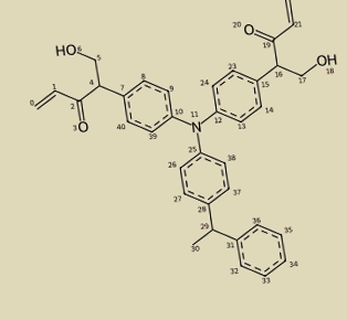 C=CC(=O)C(CO)c1ccc(N(c2ccc(C(CO)C(=O)C=C)cc2)c2ccc(C(C)c3ccccc3)cc2)cc1